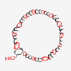 OCc1ccc2c(c1)OCCOCCOCCOCCOCCOCCOCCOCCOCCOCCOCCOCCOCCO2